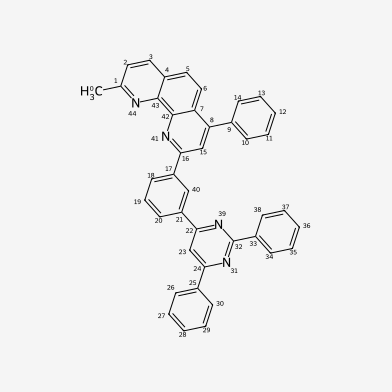 Cc1ccc2ccc3c(-c4ccccc4)cc(-c4cccc(-c5cc(-c6ccccc6)nc(-c6ccccc6)n5)c4)nc3c2n1